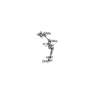 C=C1CC2C=Nc3cc(OCCCCCOc4cc(N)c(C(=O)N5CC(=C)CC5C5OCCN5C(=O)OCC(C)(C)SSCCC(=O)NCCNC=O)cc4OC)c(OC)cc3C(=O)N2C1